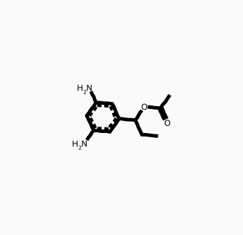 CCC(OC(C)=O)c1cc(N)cc(N)c1